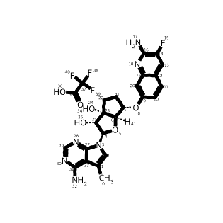 Cc1cn([C@@H]2O[C@@H]3[C@@H](Oc4ccc5cc(F)c(N)nc5c4)CC[C@]3(O)[C@H]2O)c2ncnc(N)c12.O=C(O)C(F)(F)F